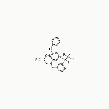 O[C@H](CN(Cc1cccc(C(F)(F)C(F)(F)Cl)c1)c1cccc(Oc2ccccc2)c1)C(F)(F)F